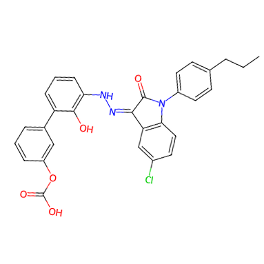 CCCc1ccc(N2C(=O)C(=NNc3cccc(-c4cccc(OC(=O)O)c4)c3O)c3cc(Cl)ccc32)cc1